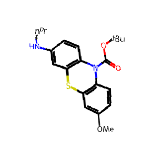 CCCNc1ccc2c(c1)Sc1cc(OC)ccc1N2C(=O)OC(C)(C)C